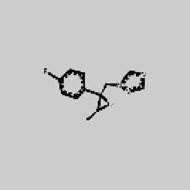 C[C@@H]1O[C@@]1(Cn1cncn1)c1ccc(F)cc1